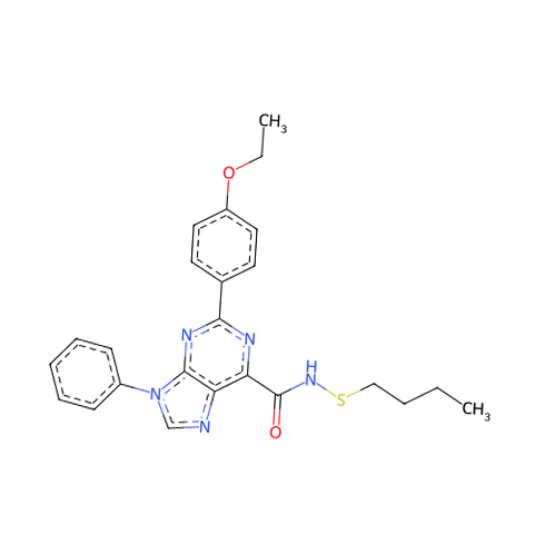 CCCCSNC(=O)c1nc(-c2ccc(OCC)cc2)nc2c1ncn2-c1ccccc1